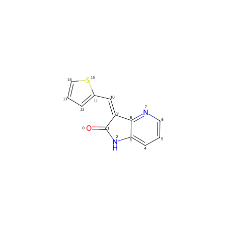 O=C1Nc2cccnc2/C1=C/c1cccs1